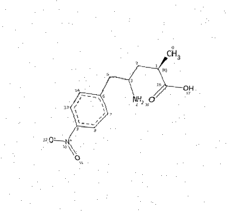 C[C@H](CC(N)Cc1ccc([N+](=O)[O-])cc1)C(=O)O